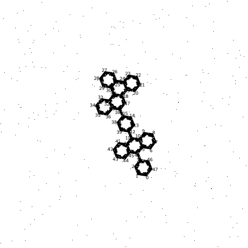 c1ccc(-c2c3ccccc3c(-c3ccc(-c4cc5c6ccccc6c6ccccc6c5c5ccccc45)cc3)c3ccccc23)cc1